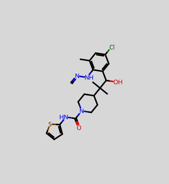 C=NNc1c(C)cc(Cl)cc1C(O)C(C)(C)C1CCN(C(=O)Nc2cccs2)CC1